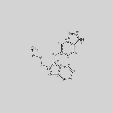 CCCCc1nc2ccccc2n1Cc1ccc2[nH]ccc2c1